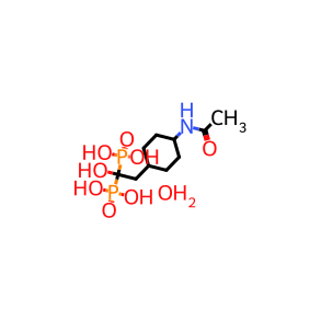 CC(=O)NC1CCC(CC(O)(P(=O)(O)O)P(=O)(O)O)CC1.O